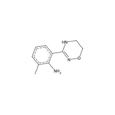 Cc1cccc(C2=NOCCN2)c1N